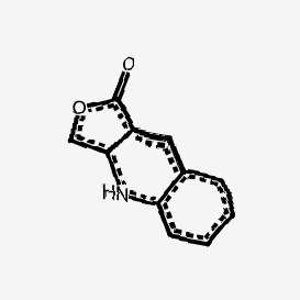 O=c1occ2[nH]c3ccccc3cc1-2